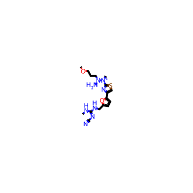 C=[N+](c1nc(-c2ccc(CNC(=NC#N)NC)o2)cs1)N(N)CCCOC